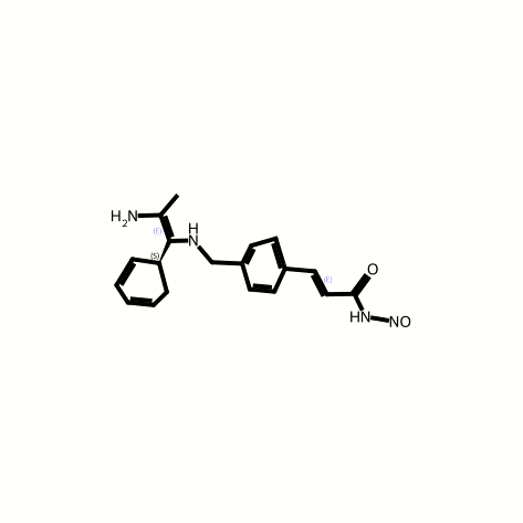 C/C(N)=C(\NCc1ccc(/C=C/C(=O)NN=O)cc1)[C@@H]1C=CC=CC1